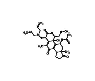 C=CCN(/C=C1\C(=O)OC(COC)[C@@]2(C)C1=C(C)C(=O)C1=C2C(OC(C)=O)C[C@]2(C)C(=O)CCC12)CC=C